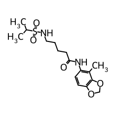 Cc1c(NC(=O)CCCCNS(=O)(=O)C(C)C)ccc2c1OCO2